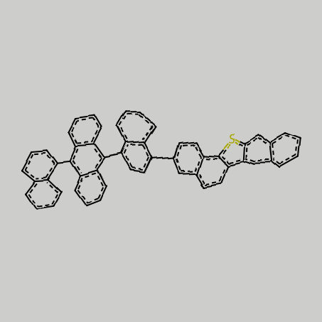 c1ccc2cc3c(cc2c1)sc1c2ccc(-c4ccc(-c5c6ccccc6c(-c6cccc7ccccc67)c6ccccc56)c5ccccc45)cc2ccc31